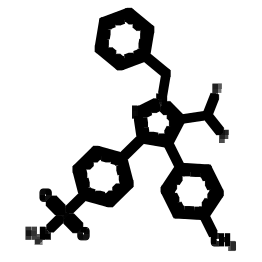 Cc1ccc(-c2c(-c3ccc(S(N)(=O)=O)cc3)nn(Cc3ccccc3)c2C(F)F)cc1